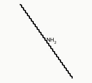 CCCCCCCCCCCCCCCCCCCCCCCCCCCC(N)CCCCCCCCCCCCCCCCCCCCCCCCCCC